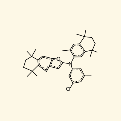 Cc1cc(Cl)cc(N(c2cc3cc4c(cc3o2)C(C)(C)CCC4(C)C)c2cc3c(cc2C)C(C)(C)CCC3(C)C)c1